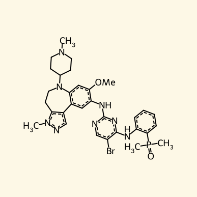 COc1cc2c(cc1Nc1ncc(Br)c(Nc3ccccc3P(C)(C)=O)n1)-c1cnn(C)c1CCN2C1CCN(C)CC1